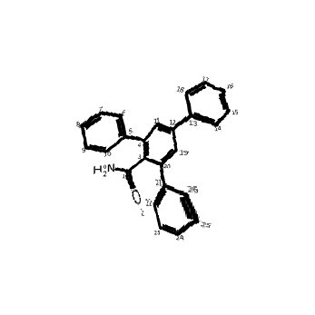 NC(=O)c1c(-c2ccccc2)cc(-c2ccccc2)cc1-c1ccccc1